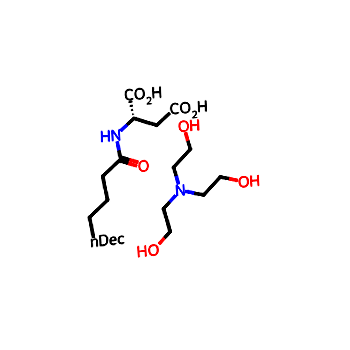 CCCCCCCCCCCCCC(=O)N[C@@H](CC(=O)O)C(=O)O.OCCN(CCO)CCO